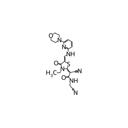 CCn1c(=C(C#N)C(=O)NCC#N)sc(=CNc2cccc(N3CCOCC3)n2)c1=O